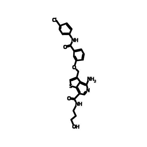 Nc1ncc(C(=O)NCCCO)c2scc(COc3cccc(C(=O)Nc4ccc(Cl)cc4)c3)c12